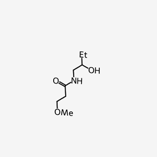 CCC(O)CNC(=O)CCOC